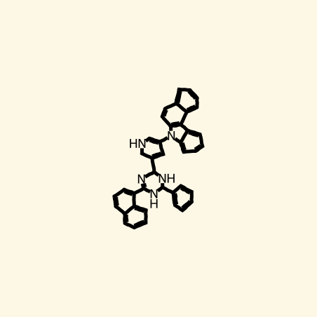 C1=C(C2N=C(c3cccc4ccccc34)NC(c3ccccc3)N2)CNC=C1n1c2ccccc2c2c3ccccc3ccc21